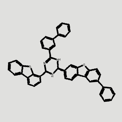 c1ccc(-c2cccc(C3=NC(c4cccc5c4sc4ccccc45)NC(c4ccc5c(c4)oc4ccc(-c6ccccc6)cc45)N3)c2)cc1